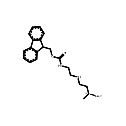 C[C@@H](CCNCCNC(=O)OCC1c2ccccc2-c2ccccc21)C(=O)O